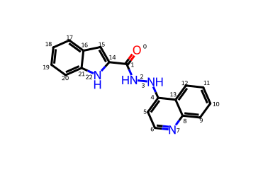 O=C(NNc1ccnc2ccccc12)c1cc2ccccc2[nH]1